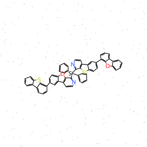 c1ccc([Si](c2ccccc2)(c2nccc3c2oc2ccc(-c4cccc5c4sc4ccccc45)cc23)c2nccc3c2sc2ccc(-c4cccc5c4oc4ccccc45)cc23)cc1